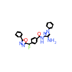 Nc1cn(-c2ccccc2)nc1NC(=O)c1ccc(C(F)c2nnc(-c3ccccc3)o2)cc1